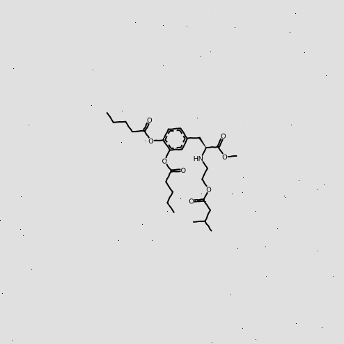 CCCCC(=O)Oc1ccc(C[C@H](NCCOC(=O)CC(C)C)C(=O)OC)cc1OC(=O)CCCC